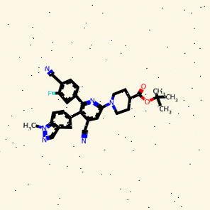 Cn1ncc2cc(-c3c(C#N)cc(N4CCC(C(=O)OC(C)(C)C)CC4)nc3-c3ccc(C#N)c(F)c3)ccc21